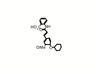 COC1C=C(/C=C/C(=O)Nc2ccccc2C(=O)O)C=CC1OC1CCCCC1